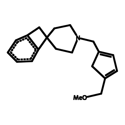 COCC1=CC=C(CN2CCC3(CC2)Cc2ccccc23)C1